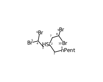 CCCCCC[SiH](CC(Br)Br)CC(Br)Br